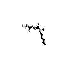 CCCCCONC(=S)SSC(N)=S